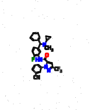 CN(C1CC1)C(c1ccccc1)c1ccc(F)c(NC(=O)c2cc(C(F)(F)F)nn2-c2cccc(C#N)c2)c1